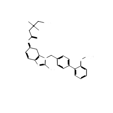 CCCCc1nc2c(n1Cc1ccc(-c3ccccc3OC(=O)O)cc1)CC(=NC(=O)CC(C)(C)CC=O)C=C2